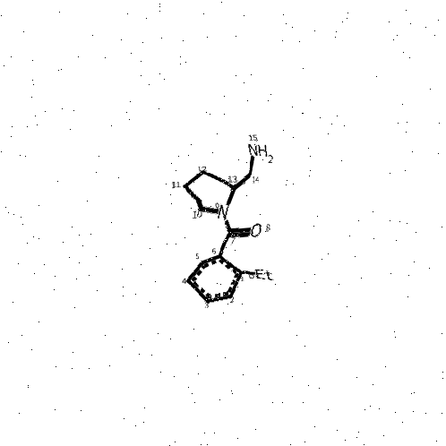 CCc1ccccc1C(=O)N1CCCC1CN